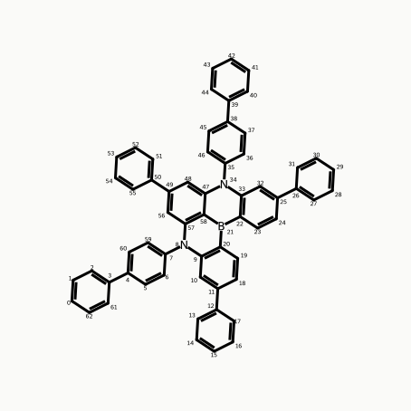 c1ccc(-c2ccc(N3c4cc(-c5ccccc5)ccc4B4c5ccc(-c6ccccc6)cc5N(c5ccc(-c6ccccc6)cc5)c5cc(-c6ccccc6)cc3c54)cc2)cc1